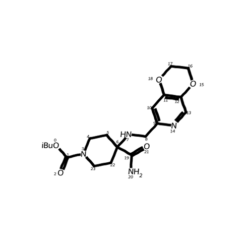 CC(C)COC(=O)N1CCC(NCc2cc3c(cn2)OCCO3)(C(N)=O)CC1